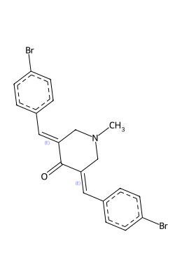 CN1C/C(=C\c2ccc(Br)cc2)C(=O)/C(=C/c2ccc(Br)cc2)C1